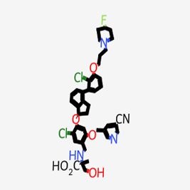 C[C@@](CO)(NCc1cc(Cl)c(O[C@H]2CCc3c(-c4cccc(OCCCN5CCC(F)CC5)c4Cl)cccc32)cc1OCc1cncc(C#N)c1)C(=O)O